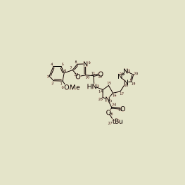 COc1ccccc1-c1cnc(C(=O)NC2CC(Cn3ccnn3)N(C(=O)OC(C)(C)C)C2)o1